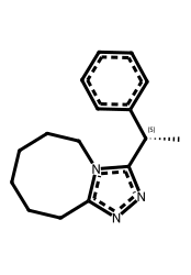 C[C@@H](c1ccccc1)c1nnc2n1CCCCCC2